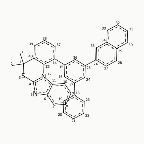 CC1(C)Sc2nc3ccccc3n2-c2c(-c3cc(-c4ccccc4)cc(-c4ccc5ccccc5c4)c3)cccc21